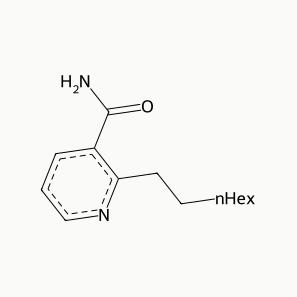 CCCCCCCCc1ncccc1C(N)=O